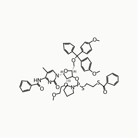 COCCO[C@H]1C(OP(SCCSC(=O)c2ccccc2)N2CCCC2)[C@@H](COC(c2ccccc2)(c2ccc(OC)cc2)c2ccc(OC)cc2)O[C@H]1n1cc(C)c(NC(=O)c2ccccc2)nc1=O